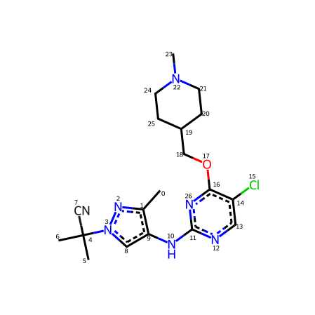 Cc1nn(C(C)(C)C#N)cc1Nc1ncc(Cl)c(OCC2CCN(C)CC2)n1